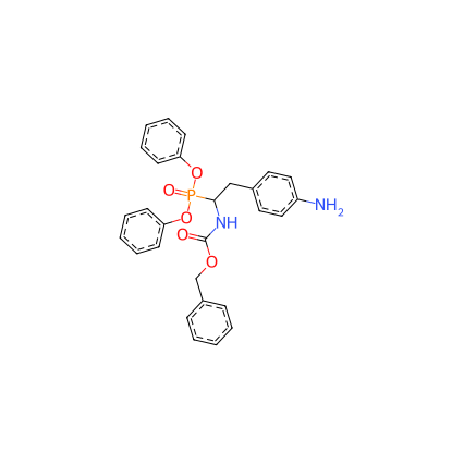 Nc1ccc(CC(NC(=O)OCc2ccccc2)P(=O)(Oc2ccccc2)Oc2ccccc2)cc1